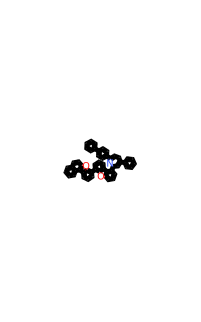 C1=C(c2ccccc2)CC=C(c2ccc(-c3ccccc3)cc2)N=C1c1cccc2oc3c(-c4cccc5c4oc4ccc6ccccc6c45)cccc3c12